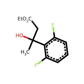 CCOC(=O)CC(C)(O)c1c(F)cccc1F